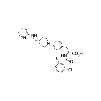 O=C(N[C@H](Cc1ccc(N2CCC(CNc3ccccn3)CC2)cc1)C(=O)O)c1c(Cl)cccc1Cl